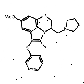 COc1cc2c3c(c1)c(Sc1ccccc1)c(C)n3C(CN1CCCC1)CO2